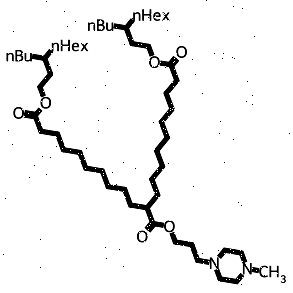 CCCCCCC(CCCC)CCOC(=O)CCCCCCCCCC(CCCCCCCCCC(=O)OCCC(CCCC)CCCCCC)C(=O)OCCCN1CCN(C)CC1